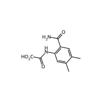 Cc1cc(NC(=O)C(=O)O)c(C(N)=O)cc1C